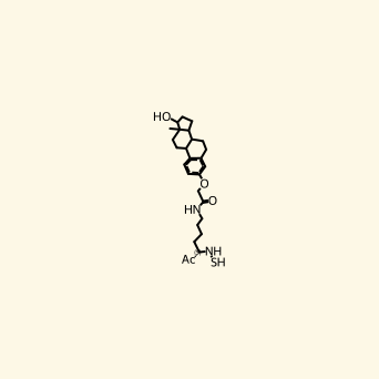 CC(=O)[C@H](CCCCNC(=O)COc1ccc2c(c1)CCC1C2CCC2(C)C(O)CCC12)NS